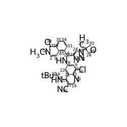 Cn1ccc2c([C@H](Nc3cc(Cl)c4ncc(C#N)c(NCC(C)(C)C)c4c3)c3cn(C4(C)COC4)nn3)cccc2c1=O